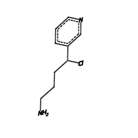 NCCCC(Cl)c1cccnc1